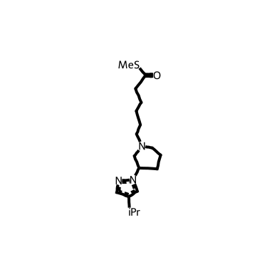 CSC(=O)CCCCCN1CCCC(n2cc(C(C)C)cn2)C1